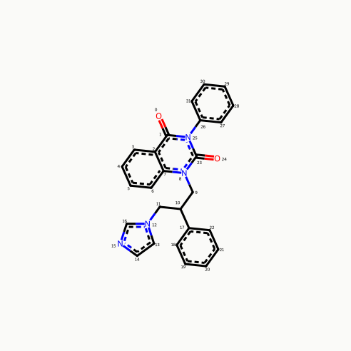 O=c1c2ccccc2n(CC(Cn2ccnc2)c2ccccc2)c(=O)n1-c1ccccc1